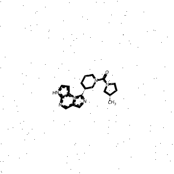 C[C@H]1CCN(C(=O)N2CCC[C@@H](c3ncc4cnc5[nH]ccc5n34)C2)C1